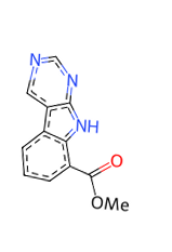 COC(=O)c1cccc2c1[nH]c1ncncc12